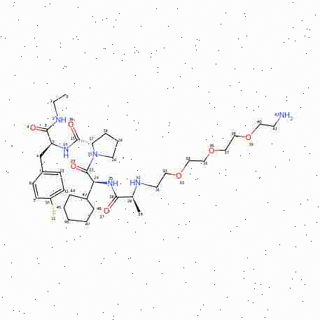 CCNC(=O)[C@H](Cc1ccc(F)cc1)NC(=O)[C@@H]1CCCN1C(=O)[C@@H](NC(=O)[C@H](C)NCCOCCOCCOCCN)C1CCCCC1